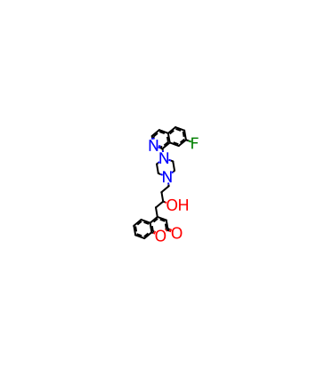 O=c1cc(CC(O)CCN2CCN(c3nccc4ccc(F)cc34)CC2)c2ccccc2o1